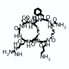 N=C(N)NCCC[C@@H]1NC(=O)[C@@H]2CSSC[C@H](NC(=O)[C@H](CC(=O)O)NC(=O)CNC1=O)C(=O)N[C@@H](Cc1ccccc1)C(=O)N[C@H](C(N)=O)CSCC(=O)N[C@@H](CCCCN)C(=O)N2